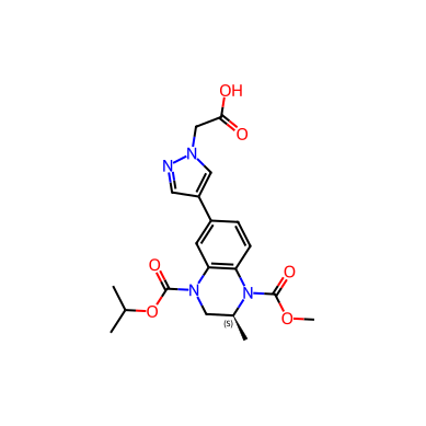 COC(=O)N1c2ccc(-c3cnn(CC(=O)O)c3)cc2N(C(=O)OC(C)C)C[C@@H]1C